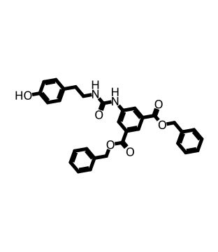 O=C(NCCc1ccc(O)cc1)Nc1cc(C(=O)OCc2ccccc2)cc(C(=O)OCc2ccccc2)c1